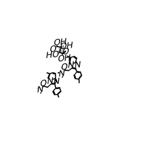 Cc1ccc(-c2nc3ccc(C)cn3c2CC(=O)N(C)C)cc1.Cc1ccc(-c2nc3ccc(C)cn3c2CC(=O)N(C)C)cc1.O=C(O)[C@H](O)[C@@H](O)C(=O)O